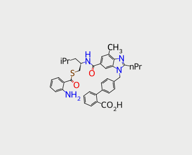 CCCc1nc2c(C)cc(C(=O)N[C@@H](CSC(=O)c3ccccc3N)CC(C)C)cc2n1Cc1ccc(-c2ccccc2C(=O)O)cc1